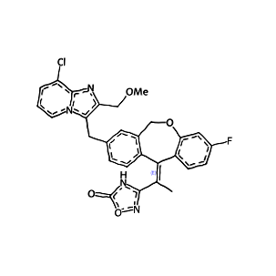 COCc1nc2c(Cl)cccn2c1Cc1ccc2c(c1)COc1cc(F)ccc1/C2=C(\C)c1noc(=O)[nH]1